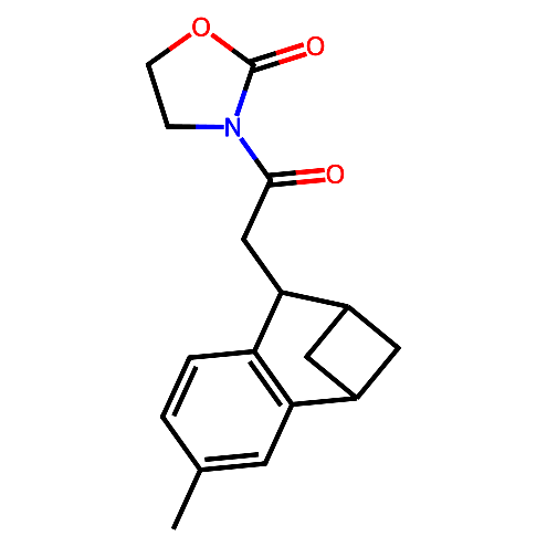 Cc1ccc2c(c1)C1CC(C1)C2CC(=O)N1CCOC1=O